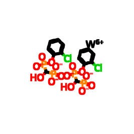 O=P([O-])([O-])C(O)P(=O)([O-])Oc1ccccc1Cl.O=P([O-])([O-])C(O)P(=O)([O-])Oc1ccccc1Cl.[W+6]